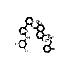 Cc1ccc2c(NS(=O)(=O)Cc3ccccc3F)c(F)ccc2c1Oc1ncccc1-c1ccnc(NC2CNC[C@H](C)C2)n1